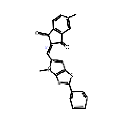 Cc1ccc2c(c1)C(=O)/C(=C\c1cc3sc(-c4ccccc4)nc3n1C)C2=O